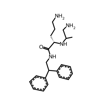 CC(CN)N[C@@H](CCCN)C(=O)NCC(c1ccccc1)c1ccccc1